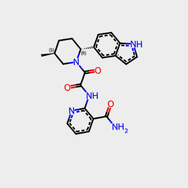 C[C@H]1CC[C@H](c2ccc3[nH]ccc3c2)N(C(=O)C(=O)Nc2ncccc2C(N)=O)C1